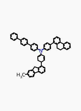 Cc1ccc2c(c1)Cc1c-2cccc1C1C=CC(N(c2ccc(-c3ccc(-c4ccccc4)cc3)cc2)c2ccc(-c3cccc4c3CCc3ccccc3-4)cc2)=CC1